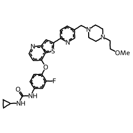 COCCN1CCN(Cc2ccc(-c3cc4nccc(Oc5ccc(NC(=O)NC6CC6)cc5F)c4s3)nc2)CC1